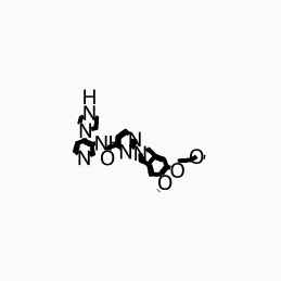 COCCOc1cc2c(cc1OC)CN(c1nccc(C(=O)Nc3cnccc3N3CCNCC3)n1)C2